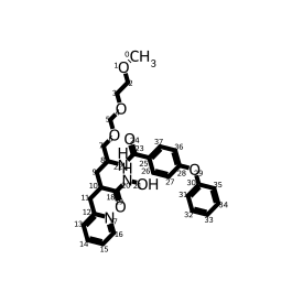 COCCOCOCC(CC(Cc1ccccn1)C(=O)NO)NC(=O)c1ccc(Oc2ccccc2)cc1